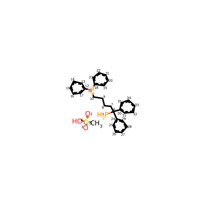 CS(=O)(=O)O.PC(CCCCP(c1ccccc1)c1ccccc1)(c1ccccc1)c1ccccc1